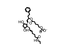 CCNC(=O)CCCC=CC[C@@H]1[C@@H](C=CC(CCc2ccccc2)OC(=O)CCCCO[N+](=O)[O-])[C@H](O)C[C@@H]1O